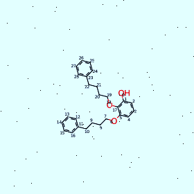 Oc1cccc(OCCCCc2ccccc2)c1OCCCCc1ccccc1